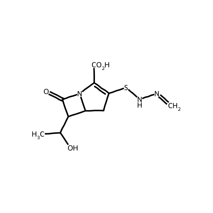 C=NNSC1=C(C(=O)O)N2C(=O)C(C(C)O)C2C1